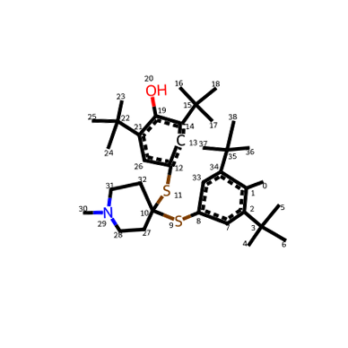 Cc1c(C(C)(C)C)cc(SC2(Sc3cc(C(C)(C)C)c(O)c(C(C)(C)C)c3)CCN(C)CC2)cc1C(C)(C)C